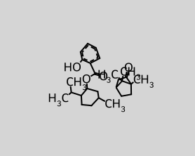 CC12CCC(CC1=O)C2(C)C.CC1CCC(C(C)C)C(OC(=O)c2ccccc2O)C1